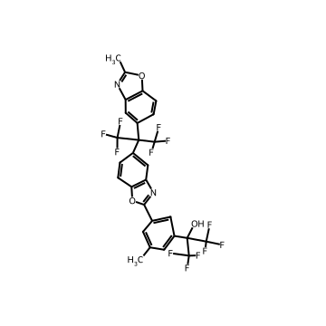 Cc1cc(-c2nc3cc(C(c4ccc5oc(C)nc5c4)(C(F)(F)F)C(F)(F)F)ccc3o2)cc(C(O)(C(F)(F)F)C(F)(F)F)c1